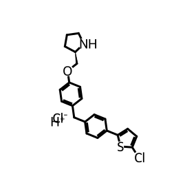 Clc1ccc(-c2ccc(Cc3ccc(OC[C@H]4CCCN4)cc3)cc2)s1.[Cl-].[H+]